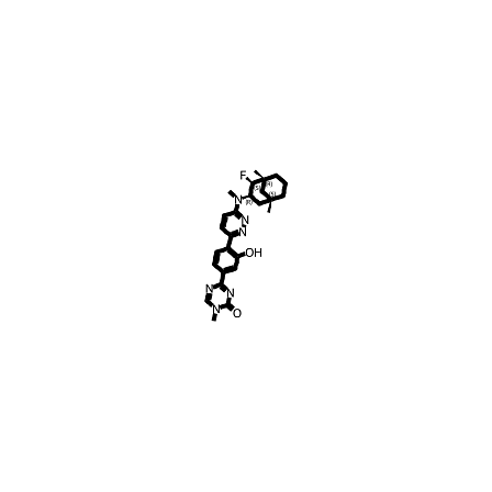 CN(c1ccc(-c2ccc(-c3ncn(C)c(=O)n3)cc2O)nn1)[C@@H]1C[C@@]2(C)CCC[C@](C)(C2)[C@@H]1F